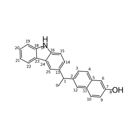 CC(c1ccc2cc(O)ccc2c1)c1ccc2[nH]c3ccccc3c2c1